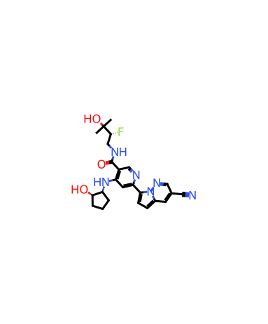 CC(C)(O)[C@H](F)CNC(=O)c1cnc(-c2ccc3cc(C#N)cnn23)cc1N[C@H]1CCC[C@H]1O